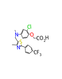 Cc1nc(-c2ccc(C(F)(F)F)cc2)sc1CN(C)c1ccc(OCC(=O)O)c(Cl)c1